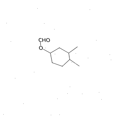 CC1CCC(OC=O)CC1C